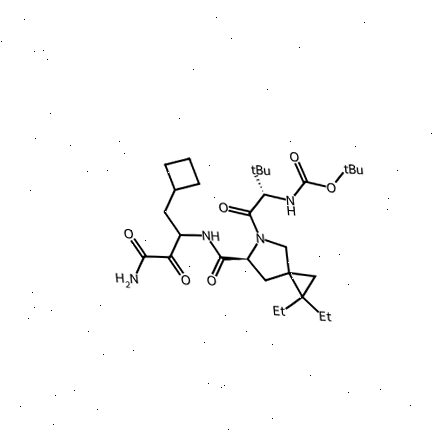 CCC1(CC)CC12C[C@@H](C(=O)NC(CC1CCC1)C(=O)C(N)=O)N(C(=O)[C@@H](NC(=O)OC(C)(C)C)C(C)(C)C)C2